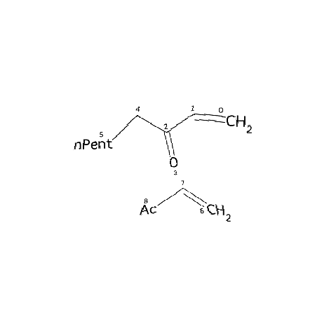 C=CC(=O)CCCCCC.C=CC(C)=O